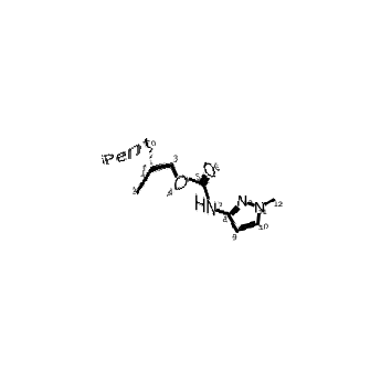 CCCC(C)[C@@H](C)COC(=O)Nc1ccn(C)n1